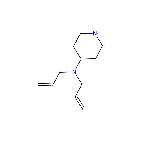 C=CCN(CC=C)C1CC[N]CC1